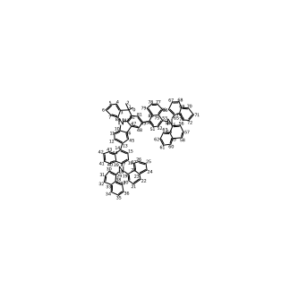 CC1(C)c2ccccc2-n2c3ccc(-c4ccc(N(c5cccc6ccccc56)c5cccc6ccccc56)c5ccccc45)cc3c3cc(-c4ccc(N(c5cccc6ccccc56)c5cccc6ccccc56)c5ccccc45)cc1c32